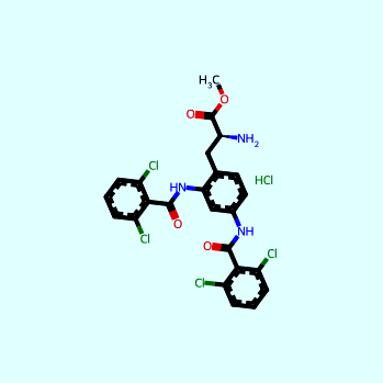 COC(=O)[C@@H](N)Cc1ccc(NC(=O)c2c(Cl)cccc2Cl)cc1NC(=O)c1c(Cl)cccc1Cl.Cl